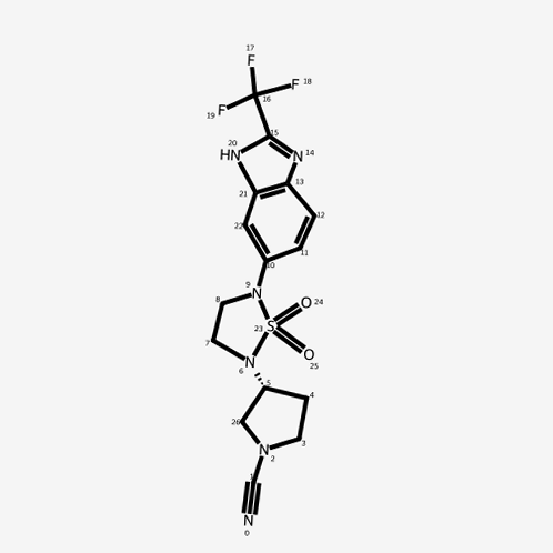 N#CN1CC[C@@H](N2CCN(c3ccc4nc(C(F)(F)F)[nH]c4c3)S2(=O)=O)C1